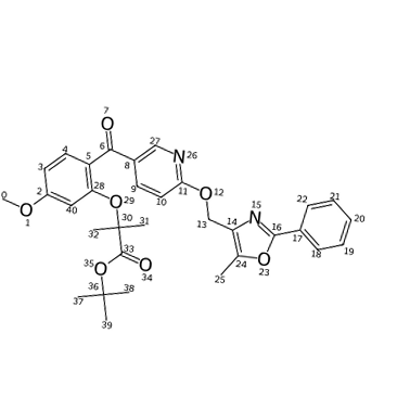 COc1ccc(C(=O)c2ccc(OCc3nc(-c4ccccc4)oc3C)nc2)c(OC(C)(C)C(=O)OC(C)(C)C)c1